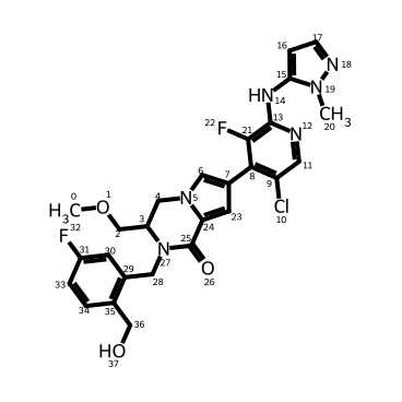 COCC1Cn2cc(-c3c(Cl)cnc(Nc4ccnn4C)c3F)cc2C(=O)N1Cc1cc(F)ccc1CO